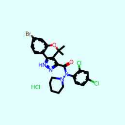 CC1(C)Oc2cc(Br)ccc2-c2[nH]nc(C(=O)N(c3ccc(Cl)cc3Cl)N3CCCCC3)c21.Cl